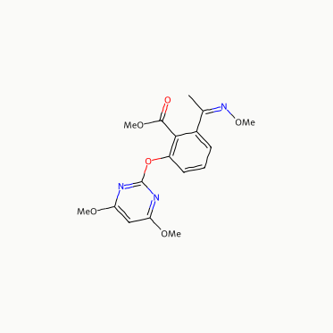 CO/N=C(/C)c1cccc(Oc2nc(OC)cc(OC)n2)c1C(=O)OC